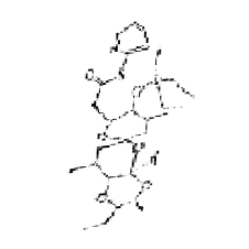 CC[C@H]1OC2[C@H](O[C@H]1C)O[C@@]1(C[C@@H]2C)C[C@H](C)C(O[Si](CC)(CC)CC)[C@H](CC(=O)Sc2ccccn2)O1